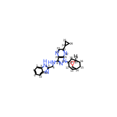 c1ccc2[nH]c(CNc3nn(C4CCC5CC[C@@H](C4)OC5)c4nc(C5CC5)cnc34)nc2c1